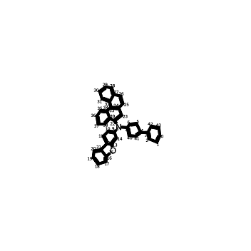 c1ccc(-c2ccc(N(c3ccc4c(c3)oc3ccccc34)c3cc4ccc5ccccc5c4c4ccccc34)cc2)cc1